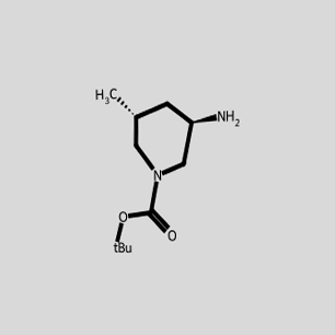 C[C@@H]1C[C@@H](N)CN(C(=O)OC(C)(C)C)C1